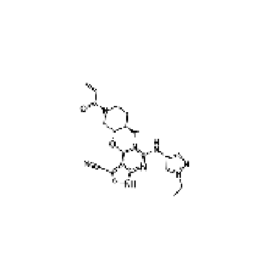 C=CC(=O)N1CC[C@@H](F)[C@H](Oc2nc(Nc3cnn(CC)c3)nc3[nH]cc(C#N)c23)C1